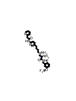 N/C(=C\N(N)CCCCc1ccc(NC(=O)Cc2ccccn2)nn1)C(=O)NCc1cc(OC(F)(F)F)ccc1F